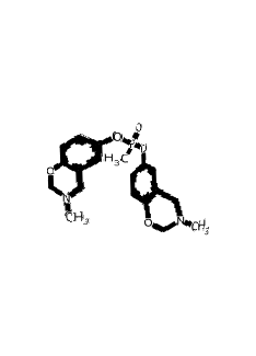 CN1COc2ccc(OP(C)(=O)Oc3ccc4c(c3)CN(C)CO4)cc2C1